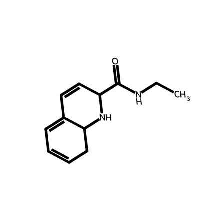 CCNC(=O)C1C=CC2=CC=CCC2N1